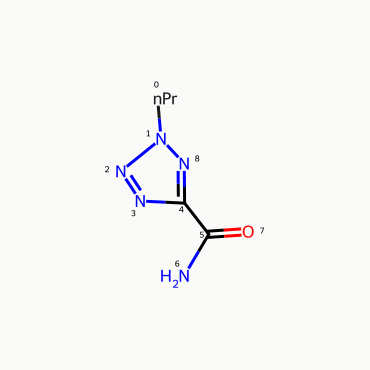 CCCn1nnc(C(N)=O)n1